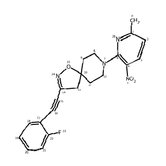 Cc1ccc([N+](=O)[O-])c(N2CCC3(CC2)CC(C#Cc2ccccc2F)=NO3)n1